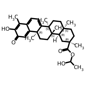 CC1=C(O)C(=O)C=C2C1=CC=C1[C@@]2(C)CC[C@@]2(C)[C@@H]3C[C@](C)(C(=O)OC(C)O)CC[C@]3(C)CC[C@]12C